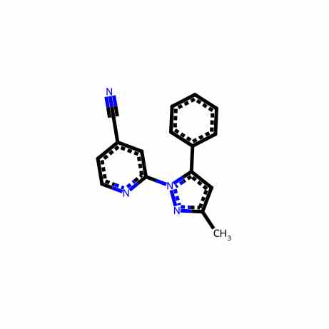 Cc1cc(-c2ccccc2)n(-c2cc(C#N)ccn2)n1